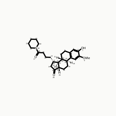 COc1cc2c(cc1O)CC[C@H]1[C@@H]3[C@@H](CCCC(=O)N4CCCCC4)CC(=O)[C@H]3CC[C@H]21